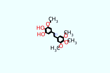 CCOc1cc(/C=C/c2cc(OC)c(OC)c(OC)c2)cc(O)c1O